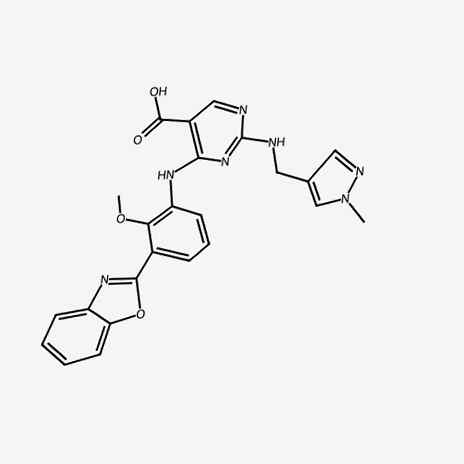 COc1c(Nc2nc(NCc3cnn(C)c3)ncc2C(=O)O)cccc1-c1nc2ccccc2o1